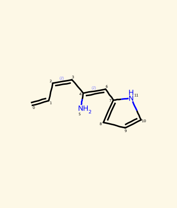 C=C/C=C\C(N)=C\c1ccc[nH]1